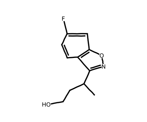 CC(CCO)c1noc2cc(F)ccc12